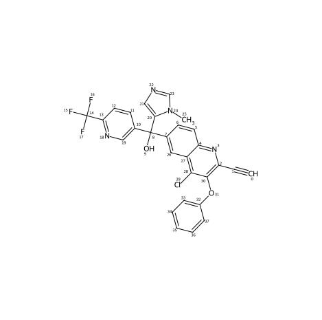 C#Cc1nc2ccc(C(O)(c3ccc(C(F)(F)F)nc3)c3cncn3C)cc2c(Cl)c1Oc1ccccc1